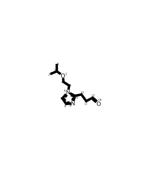 CC(C)OCCn1ccnc1CCC=O